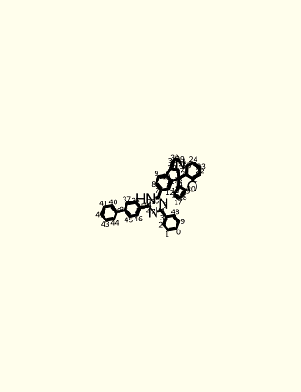 c1ccc(C2=NC(c3ccc4c(c3)C3(c5ccccc5Oc5ccccc53)c3ncccc3-4)NC(c3ccc(-c4ccccc4)cc3)=N2)cc1